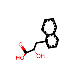 O=C(O)[C@@H](O)Cc1cccc2ccccc12